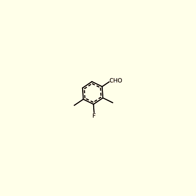 Cc1ccc(C=O)c(C)c1F